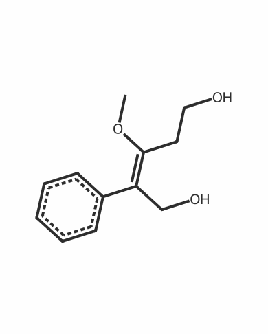 CO/C(CCO)=C(/CO)c1ccccc1